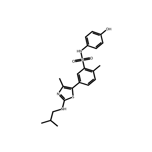 Cc1ccc(-c2sc(NCC(C)C)nc2C)cc1S(=O)(=O)Nc1ccc(O)cc1